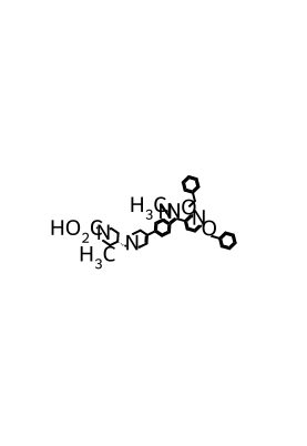 C[C@H]1CN(C(=O)O)CC[C@@H]1CN1CC=C(c2ccc3c(-c4ccc(OCc5ccccc5)nc4OCc4ccccc4)nn(C)c3c2)CC1